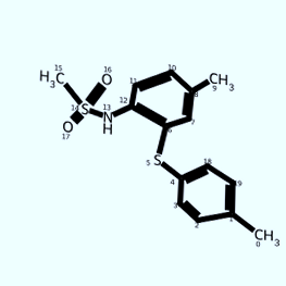 Cc1ccc(Sc2cc(C)ccc2NS(C)(=O)=O)cc1